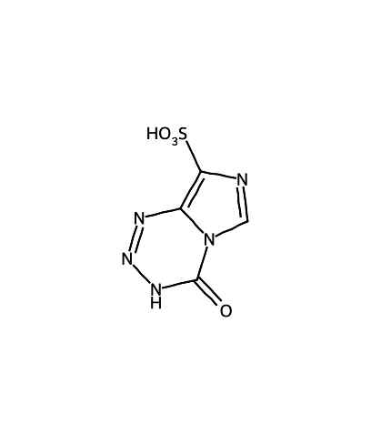 O=c1[nH]nnc2c(S(=O)(=O)O)ncn12